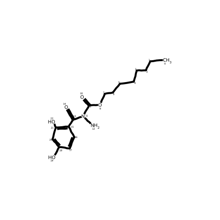 CCCCCCCCOC(=O)N(N)C(=O)c1ccc(O)cc1O